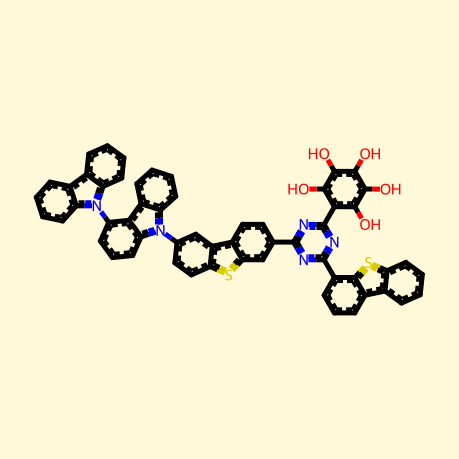 Oc1c(O)c(O)c(-c2nc(-c3ccc4c(c3)sc3ccc(-n5c6ccccc6c6c(-n7c8ccccc8c8ccccc87)cccc65)cc34)nc(-c3cccc4c3sc3ccccc34)n2)c(O)c1O